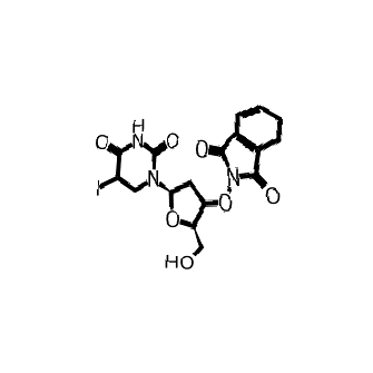 O=C1NC(=O)N([C@H]2CC(ON3C(=O)C4=C(CCC=C4)C3=O)[C@@H](CO)O2)CC1I